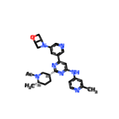 CC(=O)N1C[C@H](c2nc(Nc3ccnc(C)c3)cc(-c3cncc(N4CC5OCC54)c3)n2)CC[C@@H]1C